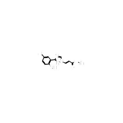 CC(C)OC(=O)/C=C/n1cnc(-c2cc(Cl)ccc2N)n1